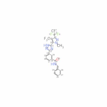 Cn1nc(C(F)(F)C(F)(F)F)c(C(F)(F)F)c1-c1nc(-c2cccc(C(=O)NCc3ccccc3)c2)n[nH]1